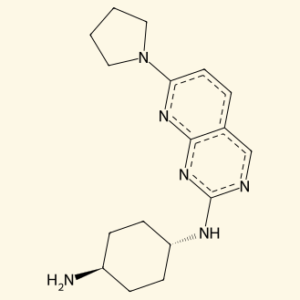 N[C@H]1CC[C@H](Nc2ncc3ccc(N4CCCC4)nc3n2)CC1